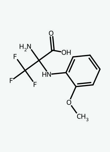 COc1ccccc1NC(N)(C(=O)O)C(F)(F)F